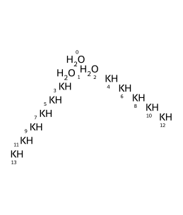 O.O.O.[KH].[KH].[KH].[KH].[KH].[KH].[KH].[KH].[KH].[KH].[KH]